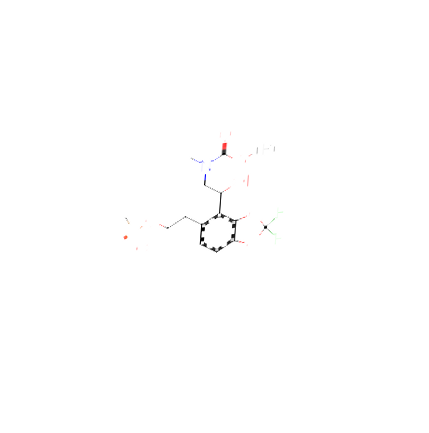 CN(CC(O)c1c(CCOS(C)(=O)=O)ccc2c1OC(F)(F)O2)C(=O)OC(C)(C)C